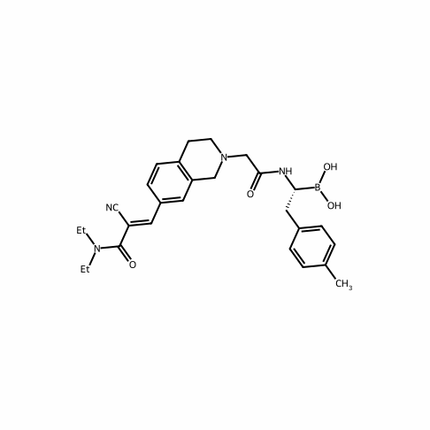 CCN(CC)C(=O)/C(C#N)=C/c1ccc2c(c1)CN(CC(=O)N[C@@H](Cc1ccc(C)cc1)B(O)O)CC2